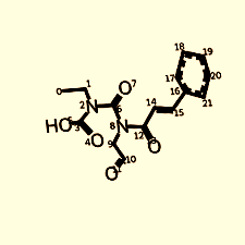 CCN(C(=O)O)C(=O)N(C[C]=O)C(=O)/C=C/c1ccccc1